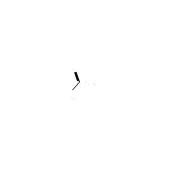 C=CC.N.N.N